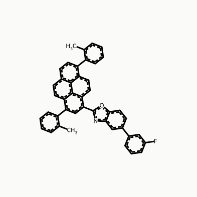 Cc1ccccc1-c1ccc2ccc3c(-c4ccccc4C)cc(-c4nc5cc(-c6cccc(F)c6)ccc5o4)c4ccc1c2c43